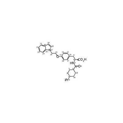 CC(C)C1CCC(C(=O)N[C@@H](Cc2ccc(OCCn3ccc4ccccc43)cc2)C(=O)O)CC1